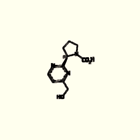 O=C(O)N1CCC[C@@H]1c1nccc(CO)n1